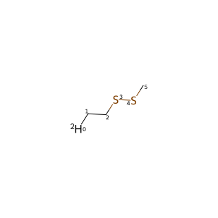 [2H]CCSSC